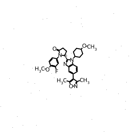 COc1ccc(N2C(=O)CC[C@H]2c2nc3cc(-c4c(C)noc4C)ccc3n2C2CCC(OC)CC2)cc1F